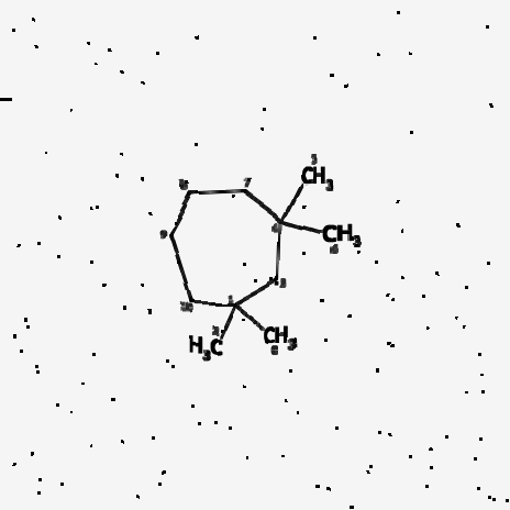 CC1(C)[CH]C(C)(C)CCCC1